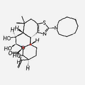 C=C1C(=O)[C@]23[C@H](O)[C@H]1CC[C@H]2[C@@]12CO[C@]3(O)[C@@H](O)[C@@H]1C(C)(C)Cc1sc(N3CCCCCCC3)nc12